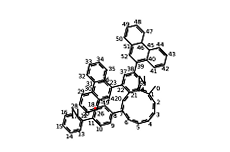 Cc1cccccc(-c2ccc(-c3ccccn3)cc2)cc2c(-c3cc4ccccc4c4ccccc34)cc(C3=C4C=CC=CC4C4C=CC=CC4=C3)nc12